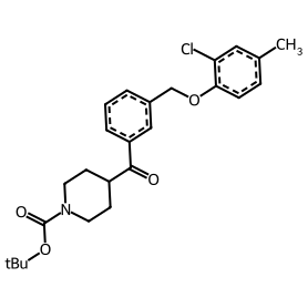 Cc1ccc(OCc2cccc(C(=O)C3CCN(C(=O)OC(C)(C)C)CC3)c2)c(Cl)c1